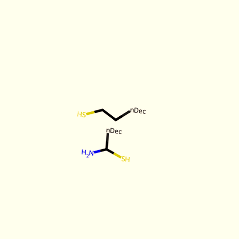 CCCCCCCCCCC(N)S.CCCCCCCCCCCCS